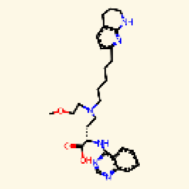 COCCN(CCCCCc1ccc2c(n1)NCCC2)CC[C@H](Nc1ncnc2ccccc12)C(=O)O